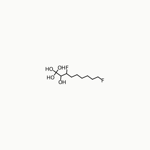 OC(C(F)CCCCCCF)C(O)(O)O